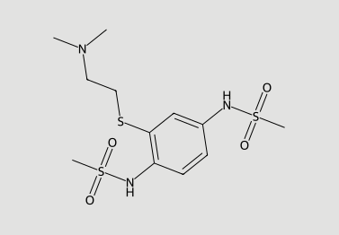 CN(C)CCSc1cc(NS(C)(=O)=O)ccc1NS(C)(=O)=O